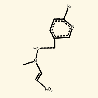 CN(C=C[N+](=O)[O-])NCc1ccc(Br)nc1